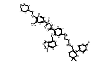 CC1(C)CCC(CNCCNc2ccc(C(=O)NS(=O)(=O)c3cnc(OCC4CCOCC4)c(Cl)c3)c(Oc3cccc4[nH]ncc34)c2)=C(c2ccc(Cl)cc2)C1